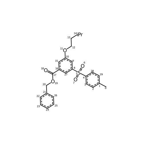 Cc1ccc(S(=O)(=O)c2cc(OCCC(C)C)cc(C(=O)OCc3ccccc3)c2)cc1